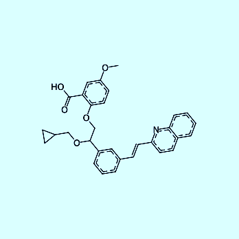 COc1ccc(OCC(OCC2CC2)c2cccc(/C=C/c3ccc4ccccc4n3)c2)c(C(=O)O)c1